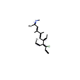 C=C/C(Cl)=C(\C=C/CC)C(=C/C)/C=C(C)/C(C)=C/C(=N\C)C(C)(C)C